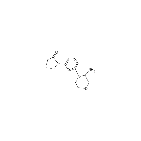 NC1COCCN1c1cccc(N2CCCC2=O)c1